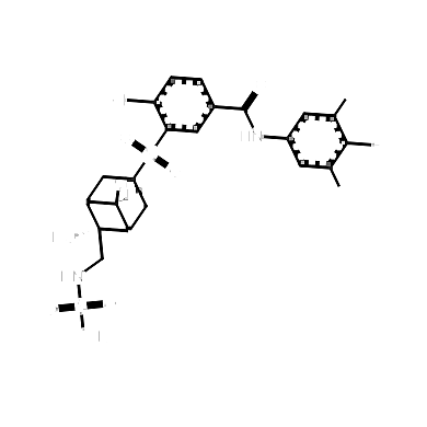 CS(=O)(=O)NC[C@]1(O)C2CC(S(=O)(=O)c3cc(C(=O)Nc4cc(F)c(F)c(F)c4)ccc3Cl)CC1[C@H]2C